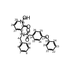 O=c1c(N(Cc2ccccc2)S(=O)(=O)c2ccc(Oc3ccccc3)cc2)cccn1O